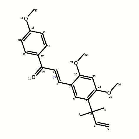 C=CC(C)(C)c1cc(/C=C/C(=O)c2ccc(OC)cc2)c(OC)cc1OC